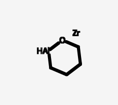 C1C[CH2][AlH][O]C1.[Zr]